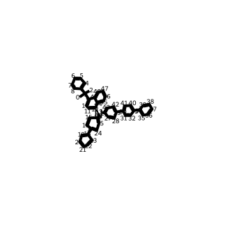 CC(C)(c1ccccc1)c1ccc(N(c2ccc(-c3ccccc3)cc2)c2ccc(-c3ccc(-c4ccccc4)cc3)cc2)c2ccccc12